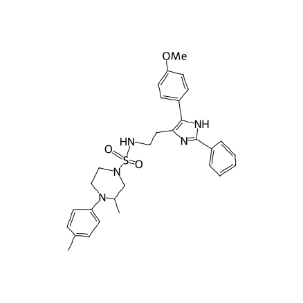 COc1ccc(-c2[nH]c(-c3ccccc3)nc2CCNS(=O)(=O)N2CCN(c3ccc(C)cc3)C(C)C2)cc1